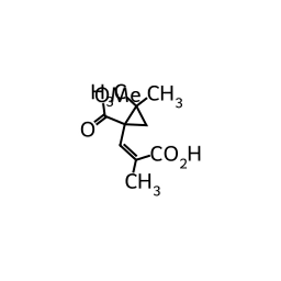 COC(=O)C1(C=C(C)C(=O)O)CC1(C)C